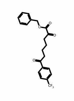 O=C(CCCCC(=O)c1ccc(C(F)(F)F)cc1)C(=O)OCc1ccccc1